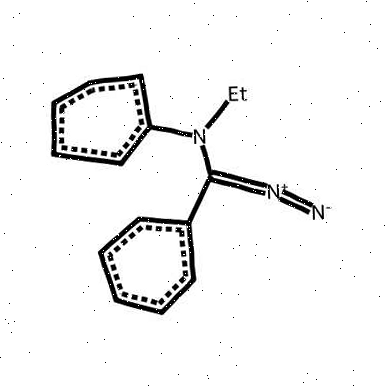 CCN(C(=[N+]=[N-])c1ccccc1)c1ccccc1